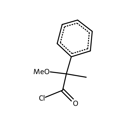 COC(C)(C(=O)Cl)c1ccccc1